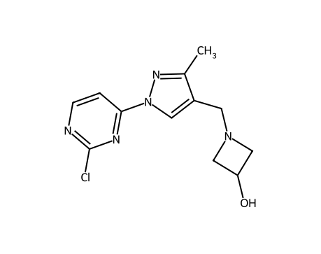 Cc1nn(-c2ccnc(Cl)n2)cc1CN1CC(O)C1